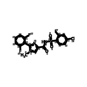 Cn1cc(C(=O)NS(=O)(=O)c2ccc(Cl)cc2I)nc1-c1c(F)cccc1F